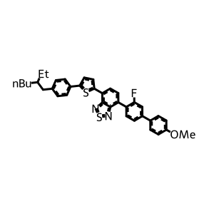 CCCCC(CC)Cc1ccc(-c2ccc(-c3ccc(-c4ccc(-c5ccc(OC)cc5)cc4F)c4nsnc34)s2)cc1